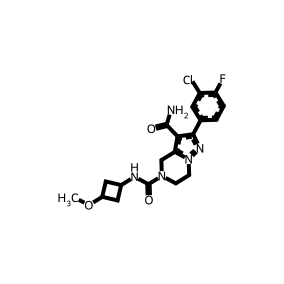 COC1CC(NC(=O)N2CCn3nc(-c4ccc(F)c(Cl)c4)c(C(N)=O)c3C2)C1